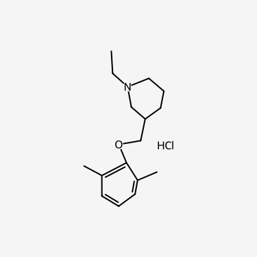 CCN1CCCC(COc2c(C)cccc2C)C1.Cl